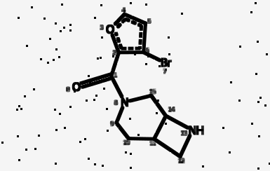 O=C(c1occc1Br)N1CCC2CNC2C1